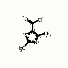 Cc1nc(C(F)(F)F)c(C(=O)Cl)s1